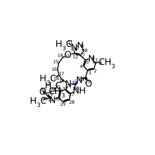 Cc1cc2cc(n1)-c1cnn(C)c1OCCCC(C)C(C)N1/C(=N/C2=O)Nc2ccc(N=S(C)(C)=O)cc21